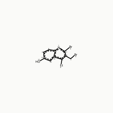 CCc1c(CBr)c(Br)nc2ccc(O)cc12